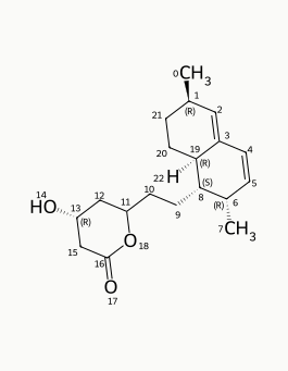 C[C@H]1C=C2C=C[C@H](C)[C@H](CCC3C[C@@H](O)CC(=O)O3)[C@H]2CC1